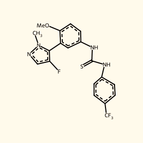 COc1ccc(NC(=S)Nc2ccc(C(F)(F)F)cc2)cc1-c1c(F)cnn1C